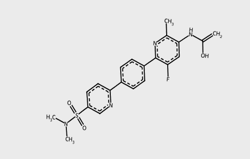 C=C(O)Nc1cc(F)c(-c2ccc(-c3ccc(S(=O)(=O)N(C)C)cn3)cc2)nc1C